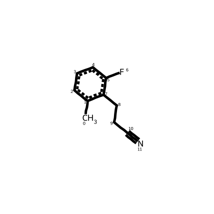 Cc1cccc(F)c1CCC#N